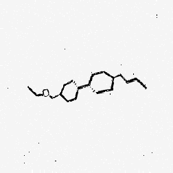 CCCC[C@H]1CC[C@H]([C@H]2CC[C@H](COCC)CC2)CC1